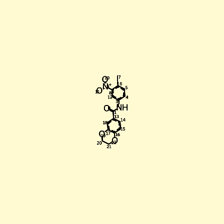 O=C(Nc1ccc(I)c([N+](=O)[O-])c1)c1ccc2c(c1)OCCO2